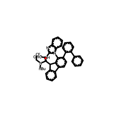 CCCCN(CC(F)(F)F)C(=O)C1c2ccccc2-c2ccc(-c3ccccc3-c3ccccc3)c(-n3c(NC=O)nc4ccccc43)c21